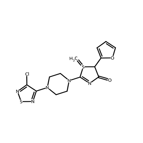 C=S1C(N2CCN(c3nsnc3Cl)CC2)=NC(=O)C1c1ccco1